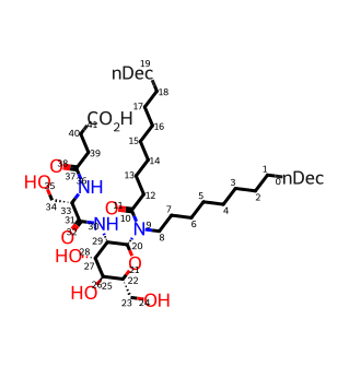 CCCCCCCCCCCCCCCCCCN(C(=O)CCCCCCCCCCCCCCCCC)[C@@H]1O[C@H](CO)[C@@H](O)[C@H](O)[C@@H]1NC(=O)[C@H](CO)NC(=O)CCC(=O)O